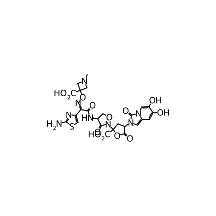 CN1CC(O/N=C(\C(=O)N[C@H]2CON(C3(C(=O)O)CC(n4cc5cc(O)c(O)cn5c4=O)C(=O)O3)C2=O)c2csc(N)n2)(C(=O)O)C1